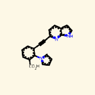 O=C(O)c1cccc(C#Cc2ccc3cc[nH]c3n2)c1-n1cccc1